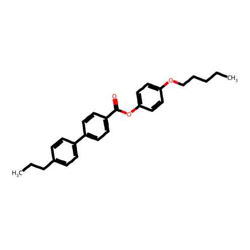 CCCCCOc1ccc(OC(=O)c2ccc(-c3ccc(CCC)cc3)cc2)cc1